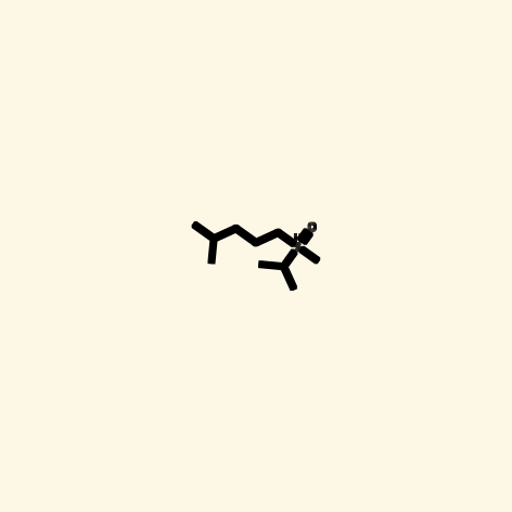 CC(C)CCC[SH](C)(=O)C(C)C